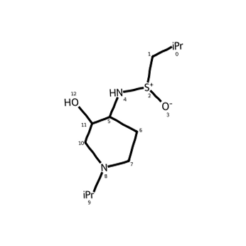 CC(C)C[S+]([O-])NC1CCN(C(C)C)CC1O